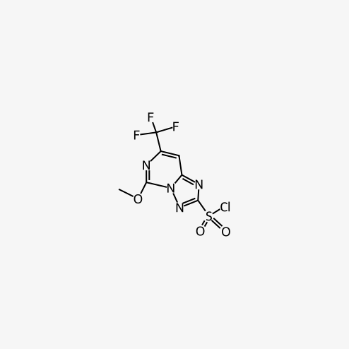 COc1nc(C(F)(F)F)cc2nc(S(=O)(=O)Cl)nn12